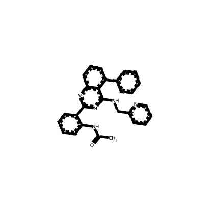 CC(=O)Nc1ccccc1-c1nc(NCc2ccccn2)c2c(-c3ccccc3)cccc2n1